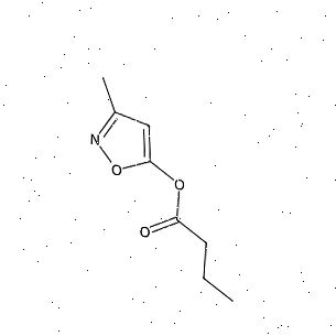 CCCC(=O)Oc1cc(C)no1